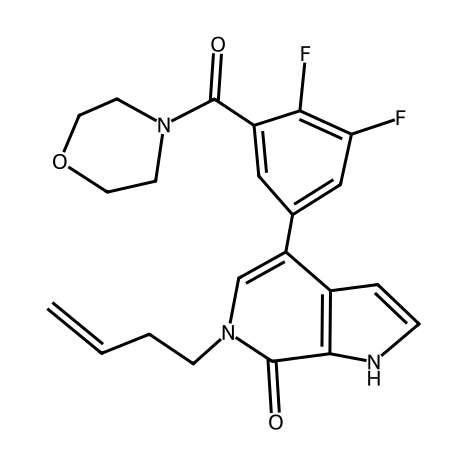 C=CCCn1cc(-c2cc(F)c(F)c(C(=O)N3CCOCC3)c2)c2cc[nH]c2c1=O